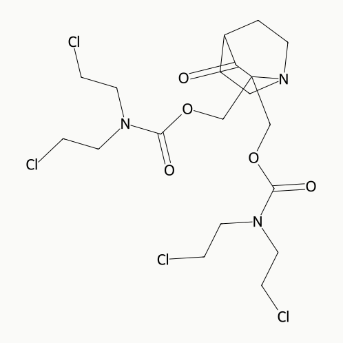 O=C(OCC1(COC(=O)N(CCCl)CCCl)C(=O)C2CCN1CC2)N(CCCl)CCCl